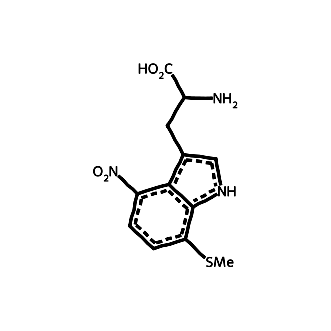 CSc1ccc([N+](=O)[O-])c2c(CC(N)C(=O)O)c[nH]c12